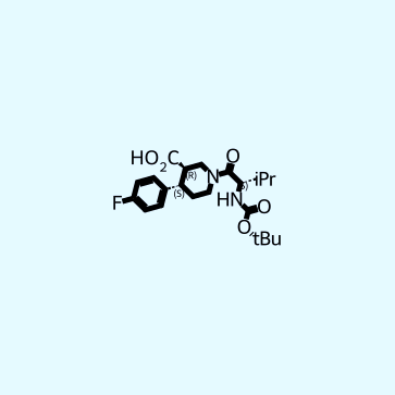 CC(C)[C@H](NC(=O)OC(C)(C)C)C(=O)N1CC[C@H](c2ccc(F)cc2)[C@@H](C(=O)O)C1